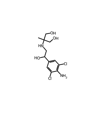 CC(CO)(CO)NCC(O)c1cc(Cl)c(N)c(Cl)c1